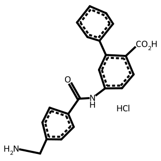 Cl.NCc1ccc(C(=O)Nc2ccc(C(=O)O)c(-c3ccccc3)c2)cc1